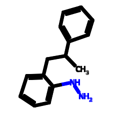 CC(Cc1ccccc1NN)c1ccccc1